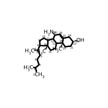 CC(C)CCC[C@@H](C)C1CCC2C3C(CC[C@@]21C)[C@@]1(C)CC[C@H](O)CC1=C[C@@H]3N